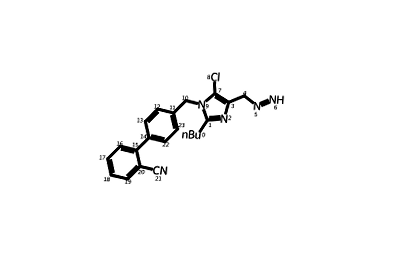 CCCCc1nc(CN=N)c(Cl)n1Cc1ccc(-c2ccccc2C#N)cc1